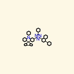 c1ccc(-c2nc(-c3ccc4c(c3)N(c3ccccc3)c3ccccc3C43c4ccccc4-c4ccccc43)nc(-c3ccc(-c4ccccc4)c4ccccc34)n2)cc1